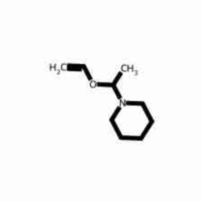 C=COC(C)N1CCCCC1